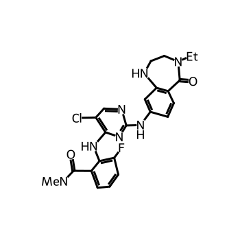 CCN1CCNc2cc(Nc3ncc(Cl)c(Nc4c(F)cccc4C(=O)NC)n3)ccc2C1=O